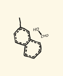 Cc1ccc2ccccc2c1.O=CO